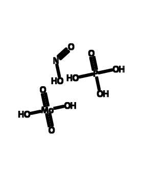 O=NO.O=P(O)(O)O.[O]=[Mo](=[O])([OH])[OH]